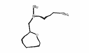 CC(C)(C)CCN(CC1CCCO1)C(C)(C)C